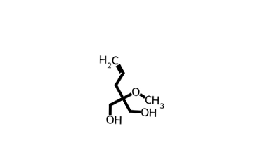 C=CCC(CO)(CO)OC